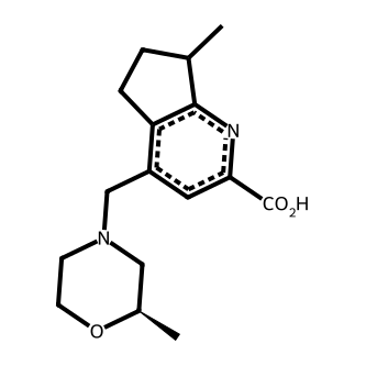 CC1CCc2c(CN3CCO[C@H](C)C3)cc(C(=O)O)nc21